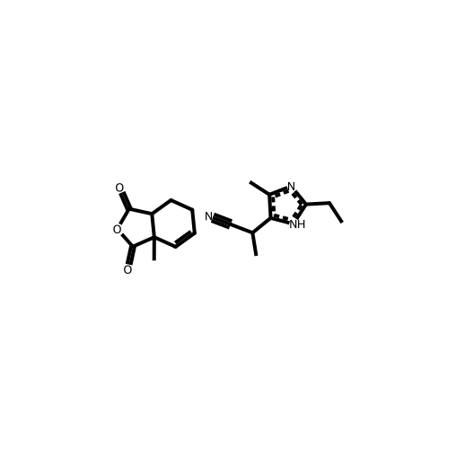 CC12C=CCCC1C(=O)OC2=O.CCc1nc(C)c(C(C)C#N)[nH]1